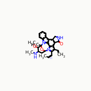 C=Cc1c(/C=C\C)n2c3c1c1c(c4c5ccccc5n(c43)C3(C)OC2CC(NC)C3OC)CNC1=O